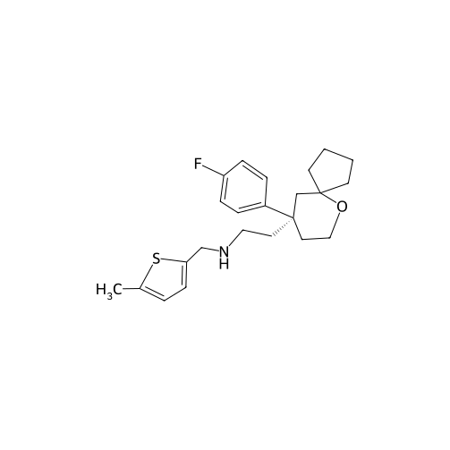 Cc1ccc(CNCC[C@@]2(c3ccc(F)cc3)CCOC3(CCCC3)C2)s1